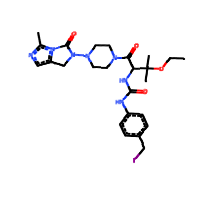 CCOC(C)(C)C(NC(=O)Nc1ccc(CI)cc1)C(=O)N1CCN(N2Cc3cnc(C)n3C2=O)CC1